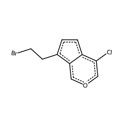 Clc1cocc2c(CCBr)ccc1-2